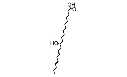 CCCC=CCC=CCC(O)CCCCCCCCCCC(=O)O